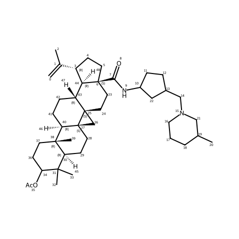 C=C(C)[C@@H]1CC[C@]2(C(=O)NC3CCC(CN4CCCC(C)C4)C3)CC[C@@]34C[C@]35CC[C@H]3C(C)(C)C(OC(C)=O)CC[C@]3(C)[C@H]5CC[C@@H]4[C@@H]12